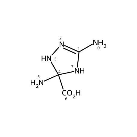 NC1=NNC(N)(C(=O)O)N1